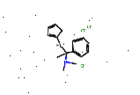 CN(C)[C](C)([Hf+3][C]1=CC=CC1)c1ccccc1.[Cl-].[Cl-].[Cl-]